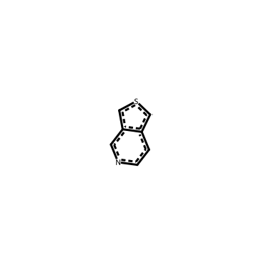 [c]1scc2cnccc12